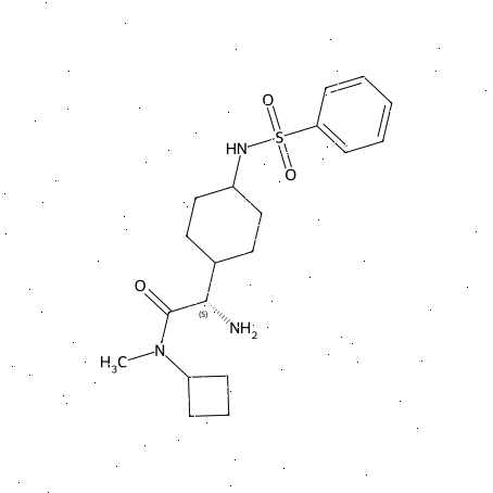 CN(C(=O)[C@@H](N)C1CCC(NS(=O)(=O)c2ccccc2)CC1)C1CCC1